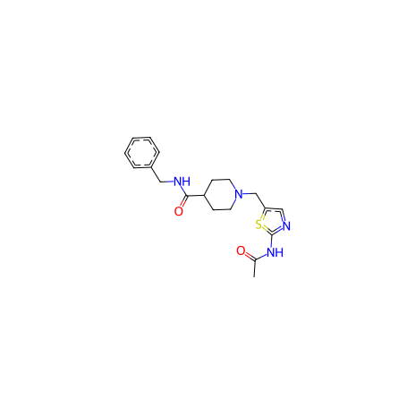 CC(=O)Nc1ncc(CN2CCC(C(=O)NCc3ccccc3)CC2)s1